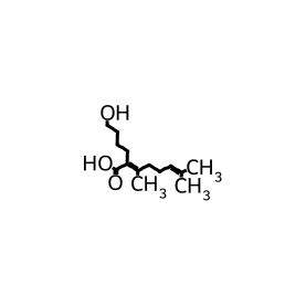 CC(C)=CCC/C(C)=C(\CCCCO)C(=O)O